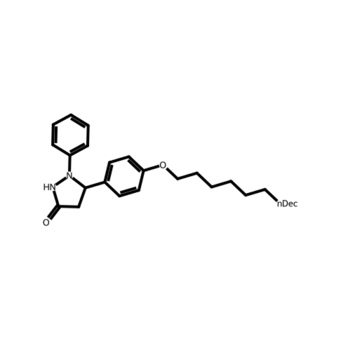 CCCCCCCCCCCCCCCCOc1ccc(C2CC(=O)NN2c2ccccc2)cc1